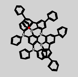 c1ccc(-c2ccc3c(c2)-c2cc(-c4ccccc4)cc4c2B3c2c(N(c3ccccc3)c3ccccc3)cc(N(c3ccccc3)c3ccccc3)c3c2N4c2cc(-c4ccccc4)cc4c2B3c2ccc(-c3ccccc3)cc2-4)cc1